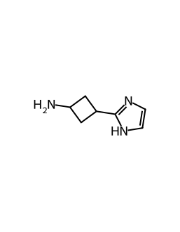 NC1CC(c2ncc[nH]2)C1